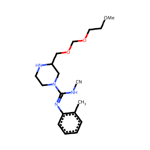 COCCOCOCC1CN(C(=Nc2ccccc2C)NC#N)CCN1